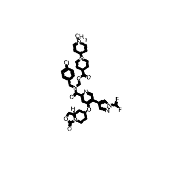 CN1CCC(N2CCC(C(=O)OCN(Cc3ccc(Cl)cc3)C(=O)c3cc(O[C@H]4CCN5C(=O)OC[C@@H]5C4)c(-c4cnn(C(F)F)c4)cn3)CC2)CC1